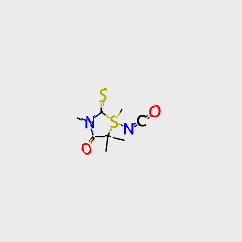 CN1C(=O)C(C)(C)S(C)(N=C=O)C1=S